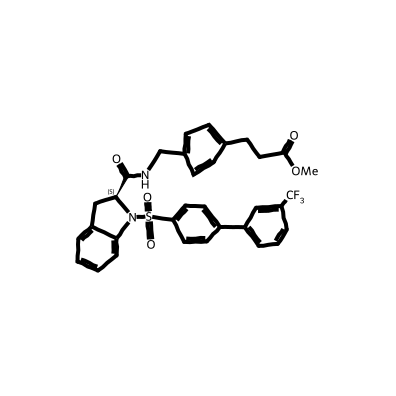 COC(=O)CCc1ccc(CNC(=O)[C@@H]2Cc3ccccc3N2S(=O)(=O)c2ccc(-c3cccc(C(F)(F)F)c3)cc2)cc1